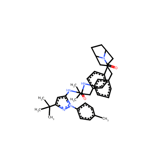 Cc1ccc(-n2nc(C(C)(C)C)cc2NC(=O)Nc2cccc(CC3CC4CCC(C3)N4C(=O)c3ccc(CC(C)C)cc3)c2)cc1